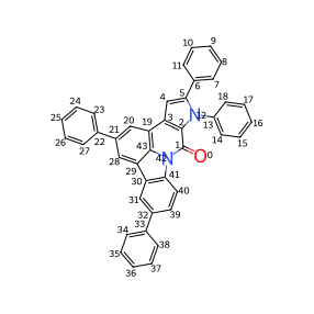 O=c1c2c(cc(-c3ccccc3)n2-c2ccccc2)c2cc(-c3ccccc3)cc3c4cc(-c5ccccc5)ccc4n1c23